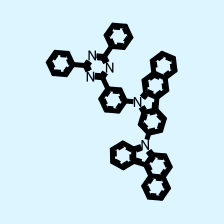 c1ccc(-c2nc(-c3ccccc3)nc(-c3cccc(-n4c5cc(-n6c7ccccc7c7c8ccccc8ccc76)ccc5c5cc6ccccc6cc54)c3)n2)cc1